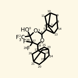 OC1(C(F)(F)F)OC(C2C3CC4CC(C3)CC2C4)OC(C23CC4CC(CC(C4)C2)C3)C1(F)F